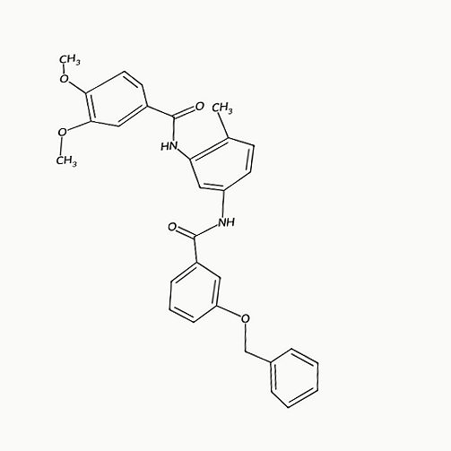 COc1ccc(C(=O)Nc2cc(NC(=O)c3cccc(OCc4ccccc4)c3)ccc2C)cc1OC